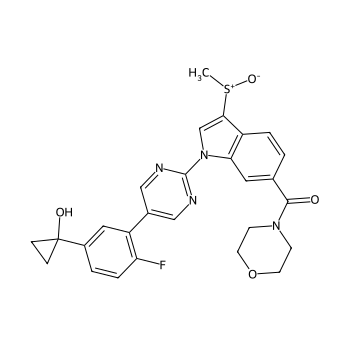 C[S+]([O-])c1cn(-c2ncc(-c3cc(C4(O)CC4)ccc3F)cn2)c2cc(C(=O)N3CCOCC3)ccc12